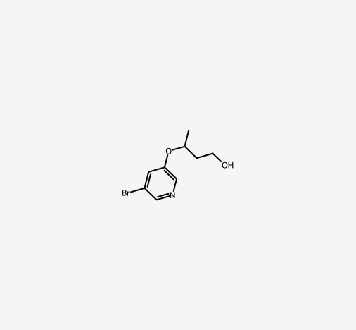 CC(CCO)Oc1cncc(Br)c1